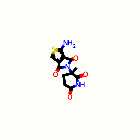 CC1(N2C(=O)c3csc(N)c3C2=O)CCC(=O)NC1=O